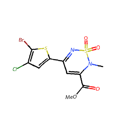 COC(=O)C1=CC(c2cc(Cl)c(Br)s2)=NS(=O)(=O)N1C